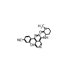 CN1CCC[C@@H](Nc2nnc(-c3ccc(C#N)cc3O)c3ccncc23)C1=O